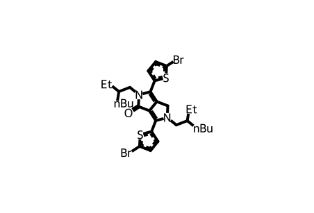 CCCCC(CC)CN1CC2=C(c3ccc(Br)s3)N(CC(CC)CCCC)C(=O)C2=C1c1ccc(Br)s1